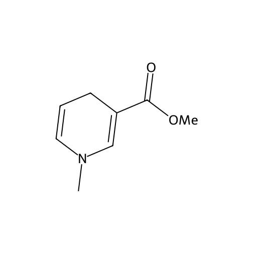 [CH2]OC(=O)C1=CN(C)C=CC1